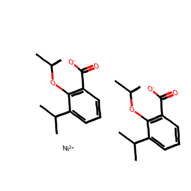 CC(C)Oc1c(C(=O)[O-])cccc1C(C)C.CC(C)Oc1c(C(=O)[O-])cccc1C(C)C.[Ni+2]